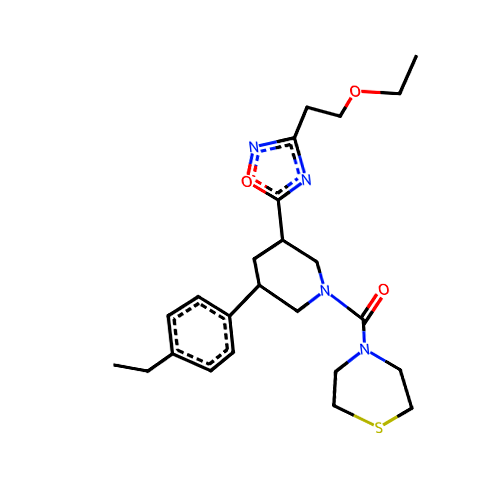 CCOCCc1noc(C2CC(c3ccc(CC)cc3)CN(C(=O)N3CCSCC3)C2)n1